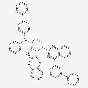 c1ccc(-c2ccc(N(c3ccccc3)c3ccc(-c4nc(-c5cccc(-c6ccccc6)c5)c5ccccc5n4)c4c3oc3cc5ccccc5cc34)cc2)cc1